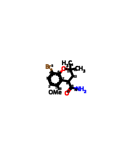 COc1ccc(Br)c2c1C(C(N)=O)CC(C)(C)O2